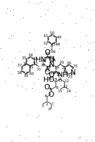 CCC(C)COC(=O)CC(O)C(CC(C)C)NC(=O)[C@H](Cc1ccncc1)NC(=O)[C@H](Cc1cccc2ccccc12)NC(=O)OCc1ccccc1